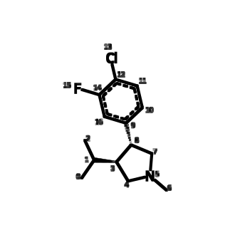 CC(C)[C@@H]1CN(C)C[C@H]1c1ccc(Cl)c(F)c1